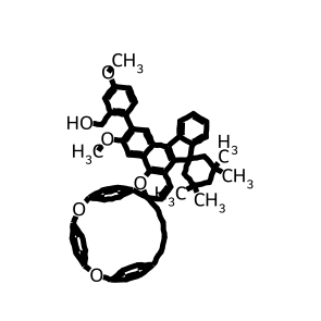 COc1ccc(-c2cc3c4c(c5c(c3cc2OC)OC2(C=C5)CCCCc3ccc(cc3)Oc3ccc(cc3)Oc3ccc2cc3)C2(CC(C)(C)CC(C)(C)C2)c2ccccc2-4)c(CO)c1